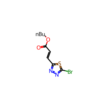 CCCCOC(=O)/C=C/c1nnc(Br)s1